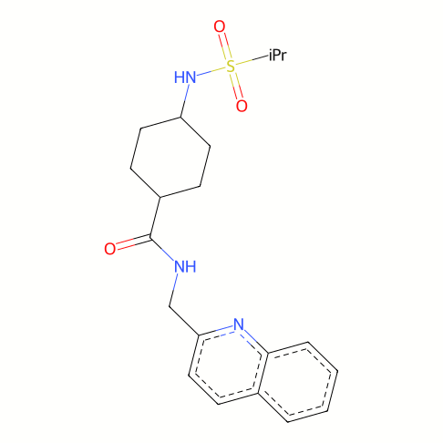 CC(C)S(=O)(=O)NC1CCC(C(=O)NCc2ccc3ccccc3n2)CC1